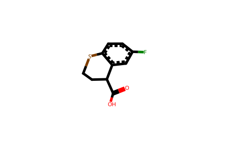 O=C(O)C1CCSc2ccc(F)cc21